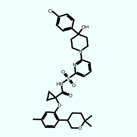 Cc1ccc(C2CCC(C)(C)OC2)c(OC2(C(=O)NS(=O)(=O)c3cccc(N4CCC(O)(c5ccc(Cl)cc5)CC4)n3)CC2)c1